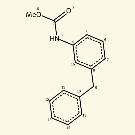 COC(=O)Nc1cccc(Cc2ccccc2)c1